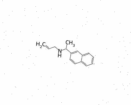 C=CCNC(C)c1ccc2c[c]ccc2c1